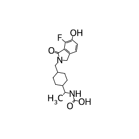 CC(NC(=O)O)C1CCC(CN2Cc3ccc(O)c(F)c3C2=O)CC1